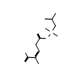 CC(=CCC(=O)O[Si](C)(C)CC(C)C)C(=O)O